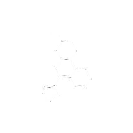 O=C(O)c1ccc2c(c1)nc(-c1ccsc1)c1ccncc12